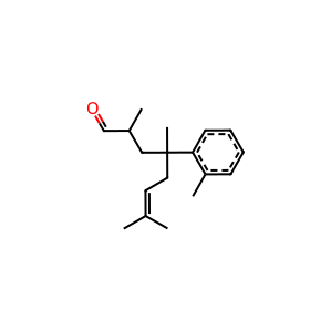 CC(C)=CCC(C)(CC(C)C=O)c1ccccc1C